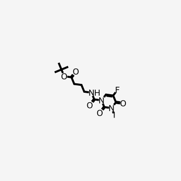 CC(C)(C)OC(=O)CCCNC(=O)n1cc(F)c(=O)n(I)c1=O